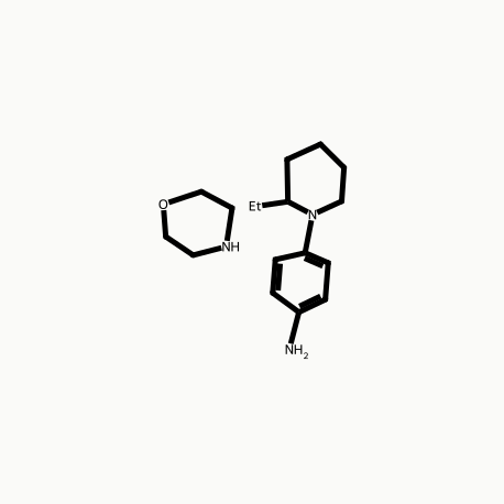 C1COCCN1.CCC1CCCCN1c1ccc(N)cc1